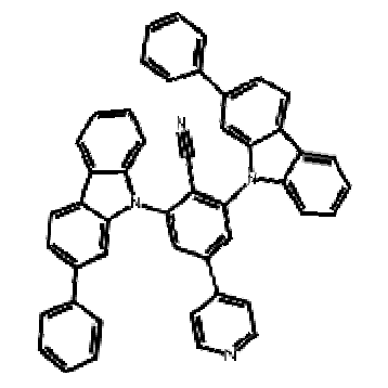 N#Cc1c(-n2c3ccccc3c3ccc(-c4ccccc4)cc32)cc(-c2ccncc2)cc1-n1c2ccccc2c2ccc(-c3ccccc3)cc21